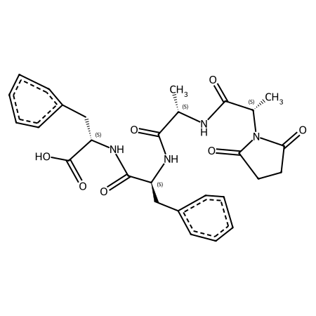 C[C@H](NC(=O)[C@H](C)N1C(=O)CCC1=O)C(=O)N[C@@H](Cc1ccccc1)C(=O)N[C@@H](Cc1ccccc1)C(=O)O